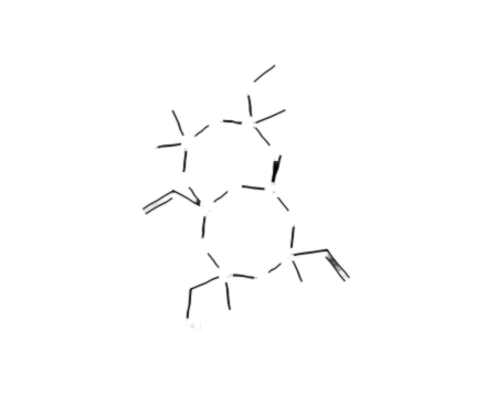 C=C[Si]1(O)O[Si](C)(CO)O[Si]2(C=C)O[Si](C)(O)O[Si](C)(OC)O[Si](C)(O1)O2